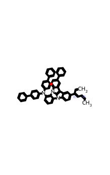 C=C/C(=C\C=C/C)c1ccc2c(c1)c1c3cc(-c4ccccc4)ccc3n3c4c(N(c5ccc(-c6ccccc6)cc5)c5ccc(-c6ccccc6)cc5)cccc4n2c13